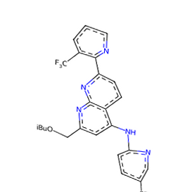 CC(C)COCc1cc(Nc2ccc(C(F)(F)F)cn2)c2ccc(-c3ncccc3C(F)(F)F)nc2n1